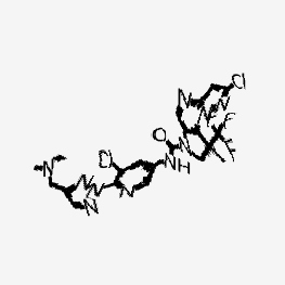 CN(C)Cc1cnn(-c2ncc(NC(=O)N3C[C@@](C)(C(F)(F)F)c4c3cnc3cc(Cl)nn43)cc2Cl)n1